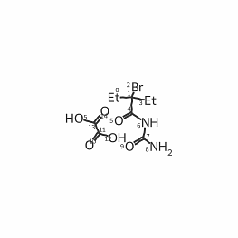 CCC(Br)(CC)C(=O)NC(N)=O.O=C(O)C(=O)O